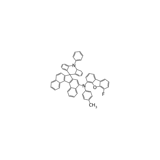 Cc1ccc(N(c2cc3c(c4ccccc24)-c2c(ccc4ccccc24)C32C3=CC=CCC3N(c3ccccc3)c3ccccc32)c2cccc3c2oc2c(F)cccc23)cc1